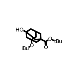 CCC(C)OC12CC3CC(O)(C1)CC(C(=O)OC(C)(C)C)(C3)C2